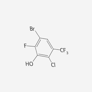 Oc1c(F)c(Br)cc(C(F)(F)F)c1Cl